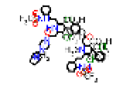 CN1C2CCC1CC(N1CCN(C(=O)CC3=C(C(=O)O)C(c4c(Cl)cccc4Cl)C(C(=O)O)=C(CCc4ccccc4NS(=O)(=O)C(F)(F)F)N3)CC1)C2.COC(=O)CC1=C(C(=O)O)C(C)(c2c(Cl)cccc2Cl)C(C(=O)O)=C(CCc2ccccc2NS(=O)(=O)C(F)(F)F)N1C